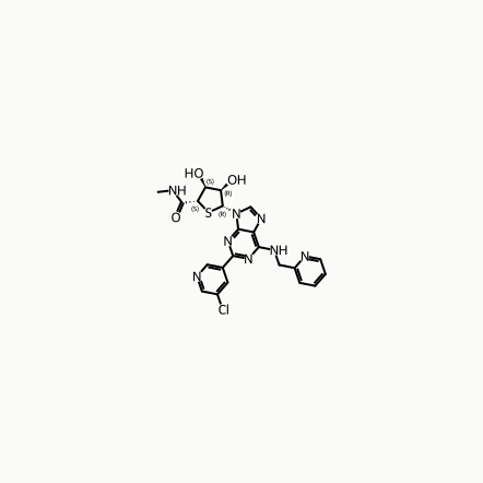 CNC(=O)[C@H]1S[C@@H](n2cnc3c(NCc4ccccn4)nc(-c4cncc(Cl)c4)nc32)[C@H](O)[C@@H]1O